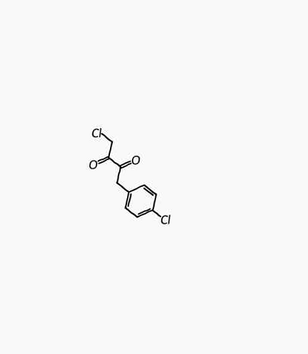 O=C(CCl)C(=O)Cc1ccc(Cl)cc1